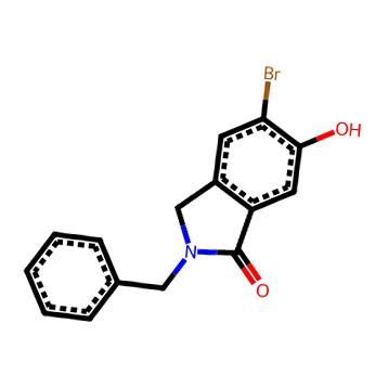 O=C1c2cc(O)c(Br)cc2CN1Cc1ccccc1